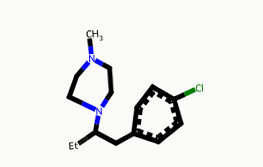 CCC(Cc1ccc(Cl)cc1)N1CCN(C)CC1